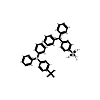 CC(C)(C)c1ccc([S+](c2ccccc2)c2ccccc2)cc1.O=S(=O)([O-])c1ccc(C(c2ccccc2)c2ccccc2)cc1